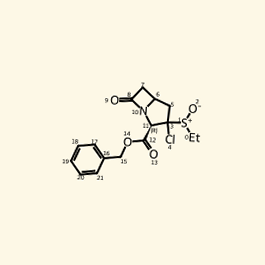 CC[S+]([O-])C1(Cl)CC2CC(=O)N2[C@@H]1C(=O)OCc1ccccc1